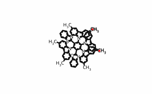 Cc1ccc2c(c1)c1cc(C)ccc1n2-c1c(-c2nc3ccccc3o2)c(-n2c3ccc(C)cc3c3cc(C)ccc32)c(-n2c3ccc(C)cc3c3cc(C)ccc32)c(-n2c3ccc(C)cc3c3cc(C)ccc32)c1-c1nc2ccccc2s1